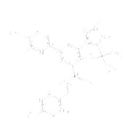 Cc1ccc(-c2cc(C(=O)NCc3cnc(C)cn3)cc(-n3nnnc3C(C)(C)C)c2)nc1